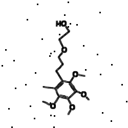 COc1c(C)c(CCCOCCO)c(OC)c(OC)c1OC